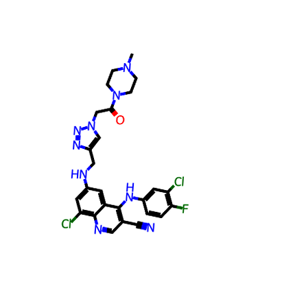 CN1CCN(C(=O)Cn2cc(CNc3cc(Cl)c4ncc(C#N)c(Nc5ccc(F)c(Cl)c5)c4c3)nn2)CC1